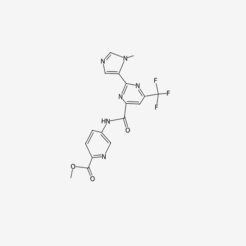 COC(=O)c1ccc(NC(=O)c2cc(C(F)(F)F)nc(-c3cncn3C)n2)cn1